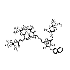 CC(C)(C)OC(=O)CCC(NC(=O)NC(CCCCNC(=O)C(Cc1ccc2ccccc2c1)NC(=O)COCC1(CO)COC(C)(C)OC1)C(=O)OC(C)(C)C)C(=O)OC(C)(C)C